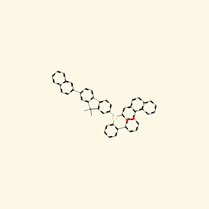 CC1(C)c2cc(-c3ccc4ccccc4c3)ccc2-c2ccc(N(c3ccc4c(ccc5ccccc54)c3)c3ccccc3-c3ccccc3)cc21